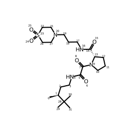 C[C@@H](CCNC(=O)C(=O)N1CCC[C@H]1C(=O)NCCCN1CCS(=O)(=O)CC1)C(C)(C)C